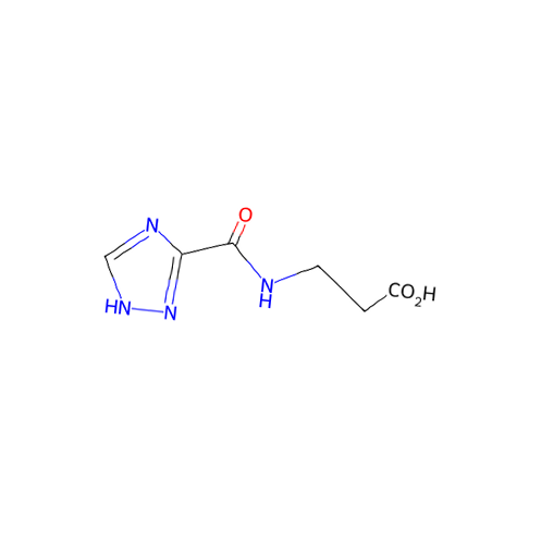 O=C(O)CCNC(=O)c1nc[nH]n1